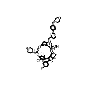 Cc1c(Cl)c2c(Cl)c(C)c1-c1c(-c3ccc(F)cc3)sc3ncnc(c13)O[C@@H](C(=O)O)Cc1cc(ccc1OCc1ccnc(-c3ccc(CN4CCOCC4)cc3)n1)OC[C@@H](CN1CCN(C)CC1)O2